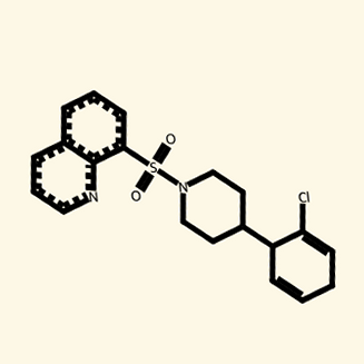 O=S(=O)(c1cccc2cccnc12)N1CCC(C2C=CCC=C2Cl)CC1